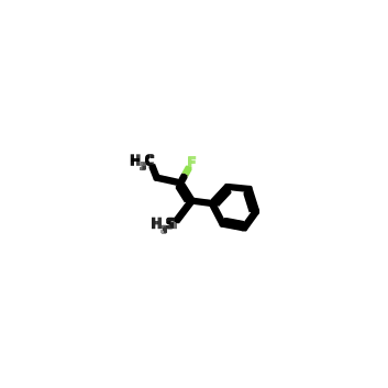 CCC(F)=C([SiH3])c1ccccc1